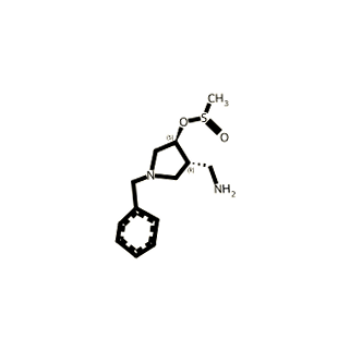 CS(=O)O[C@@H]1CN(Cc2ccccc2)C[C@H]1CN